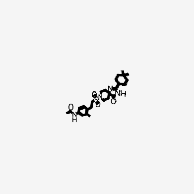 CC(=O)Nc1ccc(CCS(=O)(=O)N2CCC3(CC2)N=C(C2CCC(C)(C)CC2)NC3=O)c(C)c1